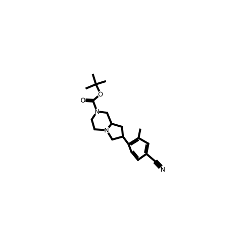 Cc1cc(C#N)ccc1C1CC2CN(C(=O)OC(C)(C)C)CCN2C1